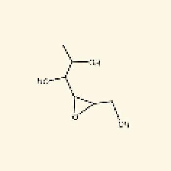 CC(O)C(O)C1OC1CO